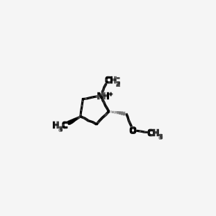 [CH2-][NH+]1C[C@H](C)C[C@H]1COC